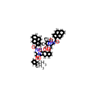 Cc1cccc(OCC(CNC(=O)c2ccc3ccc4cccc5ccc2c3c45)N2C(=O)C3Cc4cccc(OCC(CNC(=O)c5ccc6ccc7cccc8ccc5c6c78)N5C(=O)C(C)C(C)C5=O)c4C(O)C3C2=O)c1C